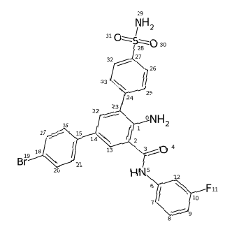 Nc1c(C(=O)Nc2cccc(F)c2)cc(-c2ccc(Br)cc2)cc1-c1ccc(S(N)(=O)=O)cc1